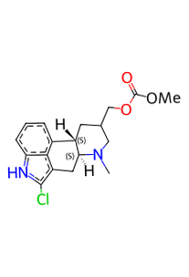 COC(=O)OCC1C[C@H]2c3cccc4[nH]c(Cl)c(c34)C[C@@H]2N(C)C1